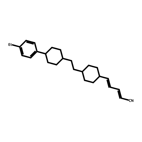 CCc1ccc(C2CCC(CCC3CCC(C=CC=CC#N)CC3)CC2)cc1